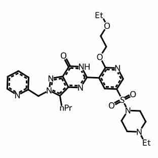 CCCc1c2nc(-c3cc(S(=O)(=O)N4CCN(CC)CC4)cnc3OCCOCC)[nH]c(=O)c2nn1Cc1ccccn1